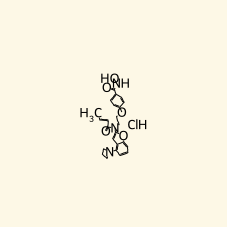 CC=CC(=O)N(CCOc1ccc(C(=O)NO)cc1)c1cc2c(N3CCC3)cccc2o1.Cl